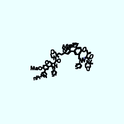 C=C1COc2cc(OC)c(-c3cc(CCC4(C)COCCN4C(=O)c4nn(-c5ccsc5)c5c4COc4cc(OC)c(-c6cnn(CCC)c6)cc4-5)nn3CCC)cc2CN(c2ccsc2)/N=C\1C(=O)N1CCOCC1(C)C